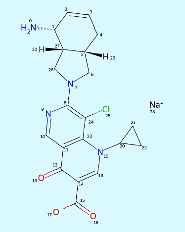 N[C@@H]1C=CC[C@@H]2CN(c3ncc4c(=O)c(C(=O)[O-])cn(C5CC5)c4c3Cl)C[C@@H]21.[Na+]